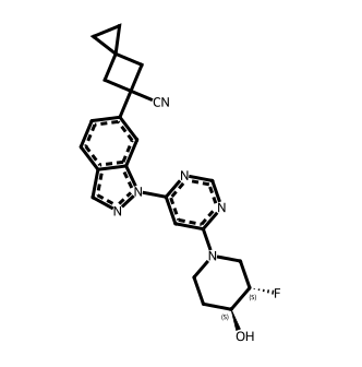 N#CC1(c2ccc3cnn(-c4cc(N5CC[C@H](O)[C@@H](F)C5)ncn4)c3c2)CC2(CC2)C1